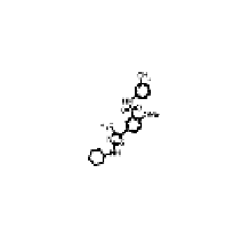 COc1ccc(-c2sc(NC3CCCCC3)nc2C)cc1S(=O)(=O)Nc1cccc(C)c1